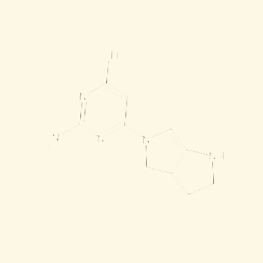 CC(C)c1cc(N2C=C3NCCC3C2)nc(N)n1